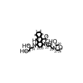 O=CC(=O)c1c2ccccc2cc2c(NCC(O)CO)ccc(NCCCN3CCOCC3)c12